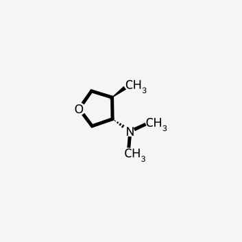 C[C@@H]1COC[C@H]1N(C)C